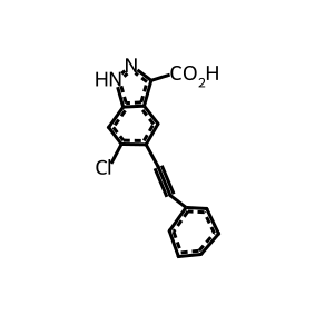 O=C(O)c1n[nH]c2cc(Cl)c(C#Cc3ccccc3)cc12